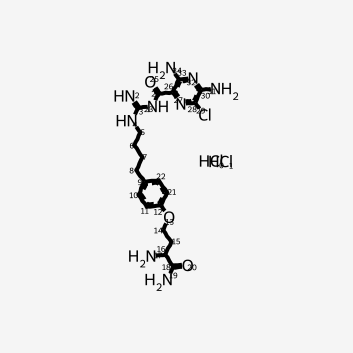 Cl.Cl.N=C(NCCCCc1ccc(OCCC(N)C(N)=O)cc1)NC(=O)c1nc(Cl)c(N)nc1N